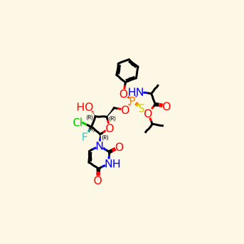 CC(C)OC(=O)C(C)NP(=S)(OC[C@H]1O[C@@H](n2ccc(=O)[nH]c2=O)[C@](F)(Cl)[C@@H]1O)Oc1ccccc1